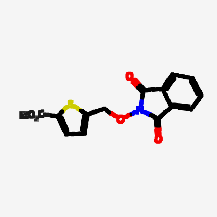 CCOC(=O)c1ccc(CON2C(=O)c3ccccc3C2=O)s1